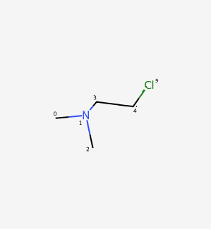 CN(C)C[CH]Cl